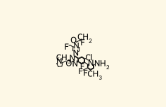 C=C(F)C(=O)N1CCN(c2nc(OCC3CCCN3C)nc3cc(-c4nc(N)cc(C)c4C(F)(F)F)c(Cl)cc23)CC1CF